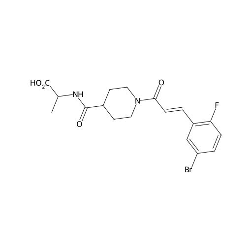 CC(NC(=O)C1CCN(C(=O)C=Cc2cc(Br)ccc2F)CC1)C(=O)O